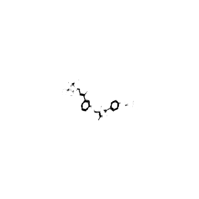 CC(=CCn1oc(=O)[nH]c1=O)c1cccc(OCc2nc(-c3ccc(OCC(F)(F)F)cc3)oc2C)c1